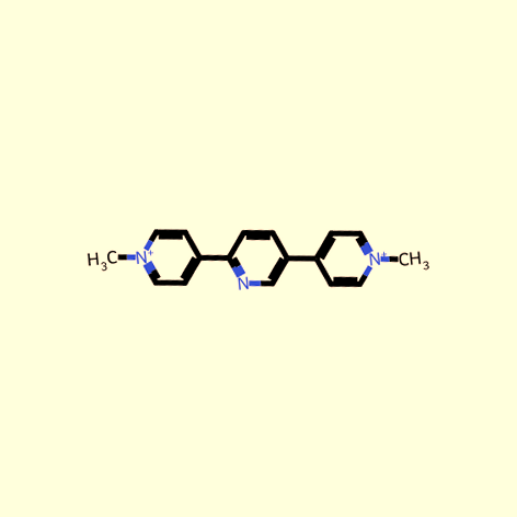 C[n+]1ccc(-c2ccc(-c3cc[n+](C)cc3)nc2)cc1